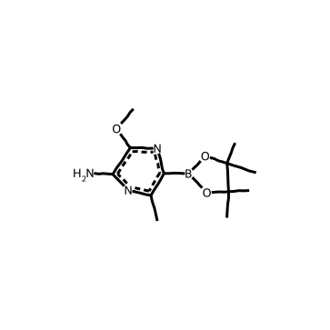 COc1nc(B2OC(C)(C)C(C)(C)O2)c(C)nc1N